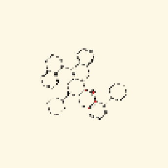 c1ccc(C2CCCCC2)c(PCc2cc3ccccc3c(-c3cccc4ccccc34)c2CP(C2CCCCC2)C2CCCCC2)c1